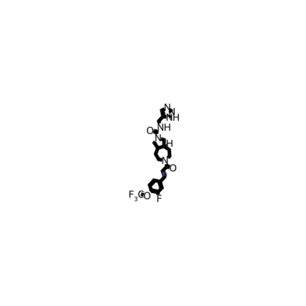 O=C(/C=C/c1ccc(OC(F)(F)F)c(F)c1)N1CCC2CN(C(=O)NCc3cnn[nH]3)C[C@H]2CC1